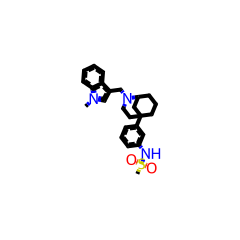 Cn1cc(CN2CCC3(c4cccc(NS(C)(=O)=O)c4)CCCC2C3)c2ccccc21